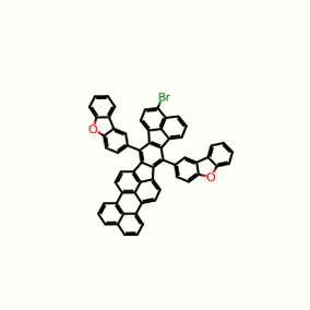 Brc1ccc2c3c(-c4ccc5oc6ccccc6c5c4)c4c5ccc6c7cccc8cccc(c9ccc(c4c(-c4ccc%10oc%11ccccc%11c%10c4)c3c3cccc1c32)c5c96)c87